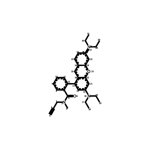 C#CCN(C)C(=O)c1ccccc1-c1cc(N(CC)CC)cc2oc3cc(=[N+](CC)CC)ccc-3cc12